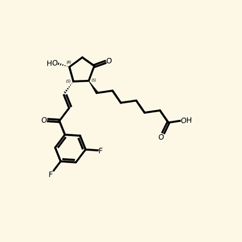 O=C(O)CCCCCC[C@@H]1C(=O)C[C@@H](O)[C@H]1C=CC(=O)c1cc(F)cc(F)c1